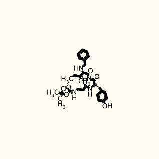 CC[C@H](C)[C@H](NCc1ccccc1)C(=O)NC(=O)[C@H](Cc1ccc(O)cc1)NC(=O)CCNC(=O)OC(C)(C)C